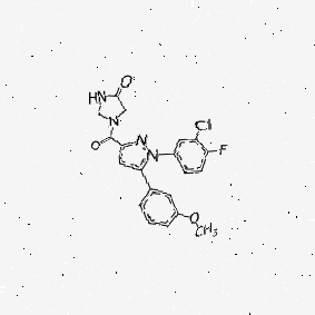 COc1cccc(-c2cc(C(=O)N3CNC(=O)C3)nn2-c2ccc(F)c(Cl)c2)c1